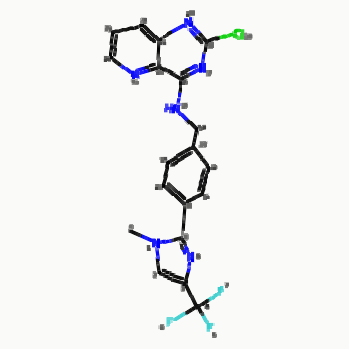 Cn1cc(C(F)(F)F)nc1-c1ccc(CNc2nc(Cl)nc3cccnc23)cc1